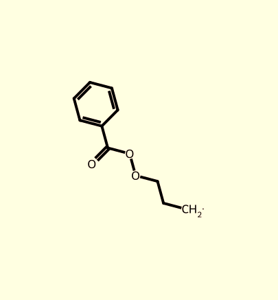 [CH2]CCOOC(=O)c1ccccc1